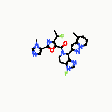 Cc1cccn2nc([C@H]3c4ncn(F)c4CCN3C(=O)c3oc(-c4cncn4C)nc3C(C)F)cc12